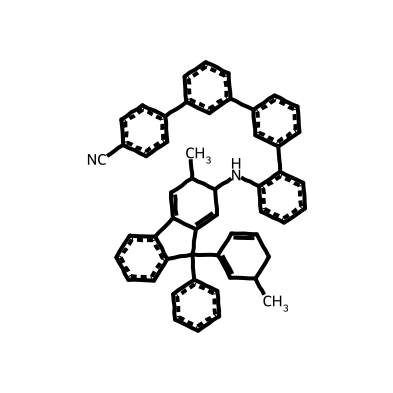 CC1C=C(C2(c3ccccc3)C3=CC(Nc4ccccc4-c4cccc(-c5cccc(-c6ccc(C#N)cc6)c5)c4)C(C)C=C3c3ccccc32)C=CC1